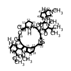 CCn1c(-c2cccnc2[C@H](C)OC)c2c3cc(ccc31)-c1csc(n1)C[C@H](NC(=O)C(C(C)C)N(C)C(=O)N1CC[C@H]3CN(C)C[C@H]31)C(=O)N1CCC[C@H](N1)C(=O)OCC(C)(C)C2